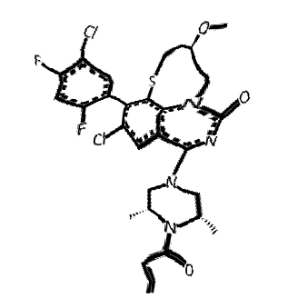 C=CC(=O)N1[C@H](C)CN(c2nc(=O)n3c4c(c(-c5cc(Cl)c(F)cc5F)c(Cl)cc24)SC[C@@H](OC)C3)C[C@@H]1C